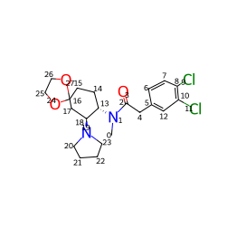 CN(C(=O)Cc1ccc(Cl)c(Cl)c1)[C@H]1CCC2(C[C@@H]1N1CCCC1)OCCO2